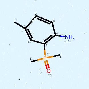 Cc1ccc(N)c(P(C)(C)=O)c1